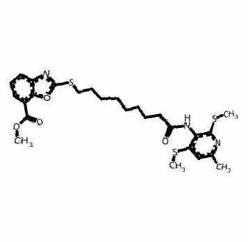 COC(=O)c1cccc2nc(SCCCCCCCCC(=O)Nc3c(SC)cc(C)nc3SC)oc12